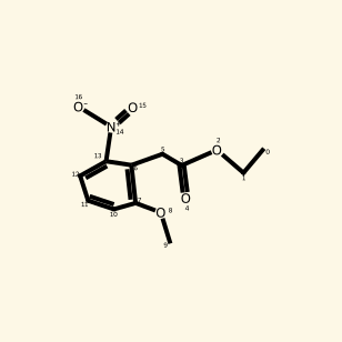 CCOC(=O)Cc1c(OC)cccc1[N+](=O)[O-]